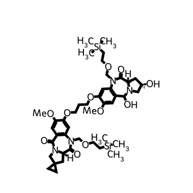 COc1cc2c(cc1OCCCOc1cc3c(cc1OC)C(O)N1C[C@H](O)C[C@H]1C(=O)N3COCC[Si](C)(C)C)N(COCC[Si](C)(C)C)C(=O)[C@@H]1CC3(CC3)CN1C2=O